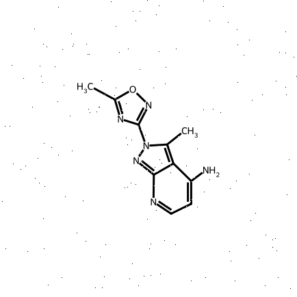 Cc1nc(-n2nc3nccc(N)c3c2C)no1